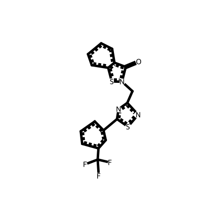 O=c1c2ccccc2sn1Cc1nsc(-c2cccc(C(F)(F)F)c2)n1